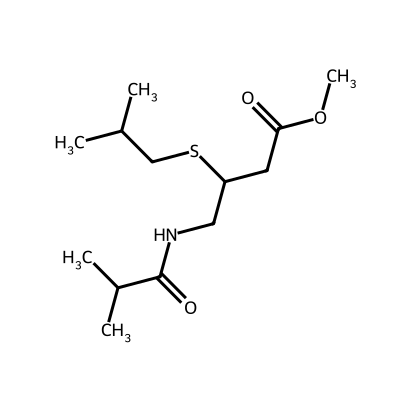 COC(=O)CC(CNC(=O)C(C)C)SCC(C)C